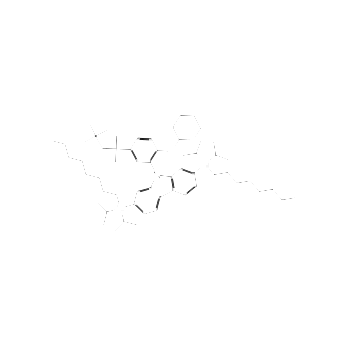 CCCCCCCC[Si](c1ccc2c3ccc([Si](CCCCCCCC)(C(C)C)C(C)C)cc3n(-c3cc(C(C)(C)CC(C)(C)C)ccc3OC3CCCCO3)c2c1)(C(C)C)C(C)C